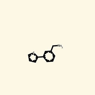 NCc1cccc(-c2[c]ccs2)c1